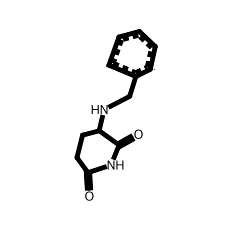 O=C1CCC(NCc2[c]cccc2)C(=O)N1